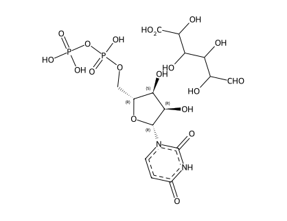 O=CC(O)C(O)C(O)C(O)C(=O)O.O=c1ccn([C@@H]2O[C@H](COP(=O)(O)OP(=O)(O)O)[C@@H](O)[C@H]2O)c(=O)[nH]1